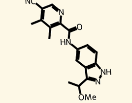 COC(C)c1n[nH]c2ccc(NC(=O)c3ncc(C#N)c(C)c3C)cc12